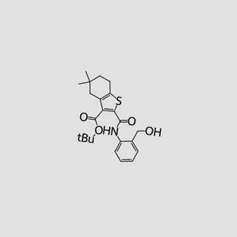 CC1(C)CCc2sc(C(=O)Nc3ccccc3CO)c(C(=O)OC(C)(C)C)c2C1